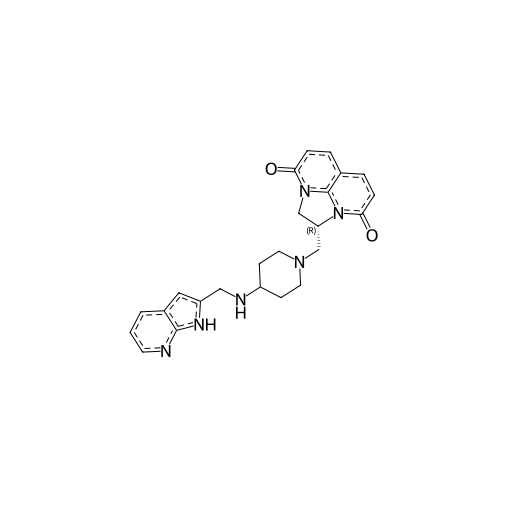 O=c1ccc2ccc(=O)n3c2n1C[C@H]3CN1CCC(NCc2cc3cccnc3[nH]2)CC1